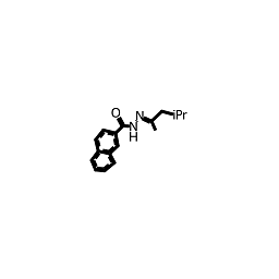 C/C(CC(C)C)=N\NC(=O)c1ccc2ccccc2c1